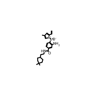 C=Cc1cc(C)cn1[S+]([O-])c1ccc(C(=O)NCCC2CCC(C)(C)CC2)cc1N